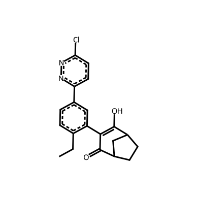 CCc1ccc(-c2ccc(Cl)nn2)cc1C1=C(O)C2CCC(C2)C1=O